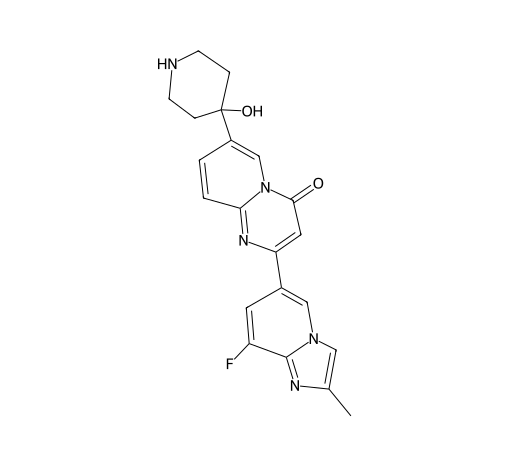 Cc1cn2cc(-c3cc(=O)n4cc(C5(O)CCNCC5)ccc4n3)cc(F)c2n1